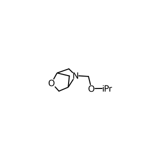 CC(C)OCN1CC2CC1CO2